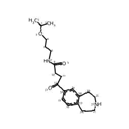 CC(C)OCCCNC(=O)CCC(=O)c1ccc2c(c1)CCNCC2